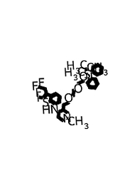 CN1CCC(Nc2cccc3c(CC(F)(F)F)c(I)sc23)C(CCOCCOCCO[Si](c2ccccc2)(c2ccccc2)C(C)(C)C)C1